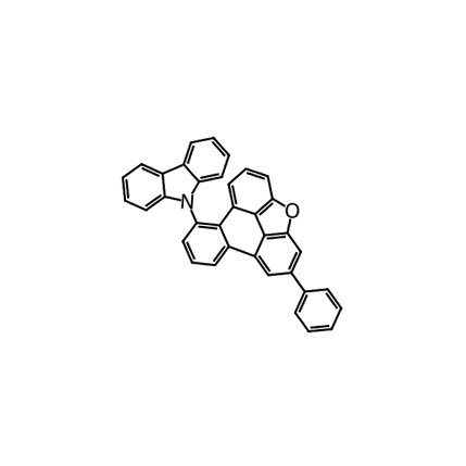 c1ccc(-c2cc3oc4cccc5c6c(-n7c8ccccc8c8ccccc87)cccc6c(c2)c3c45)cc1